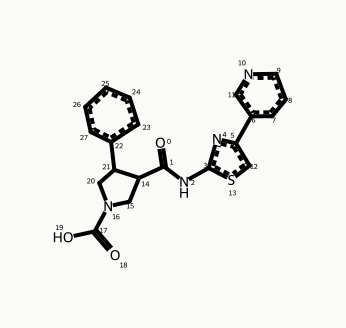 O=C(Nc1nc(-c2cccnc2)cs1)C1CN(C(=O)O)CC1c1ccccc1